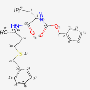 CC(C)C[C@H](NC(=O)OCc1ccccc1)C(=O)NC(C=O)CCSCc1ccccc1